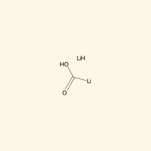 [LiH].[Li][C](=O)O